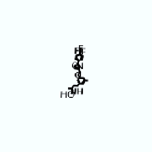 Cc1cc(/C=C/C(C)NO)cc(OCc2coc(-c3ccc(C(F)(F)F)cc3)n2)c1